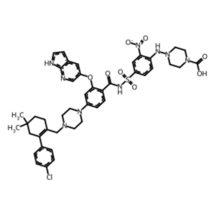 CC1(C)CCC(CN2CCN(c3ccc(C(=O)NS(=O)(=O)c4ccc(NN5CCN(C(=O)O)CC5)c([N+](=O)[O-])c4)c(Oc4cnc5[nH]ccc5c4)c3)CC2)=C(c2ccc(Cl)cc2)C1